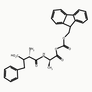 C[C@@H](NC(=O)[C@@H](N)C(Cc1ccccc1)C(=O)O)C(=O)OC(=O)OCC1c2ccccc2-c2ccccc21